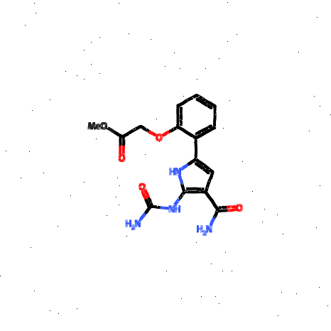 COC(=O)COc1ccccc1-c1cc(C(N)=O)c(NC(N)=O)[nH]1